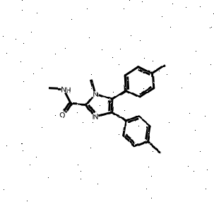 CNC(=O)c1nc(-c2ccc(C)cc2)c(-c2ccc(C)cc2)n1C